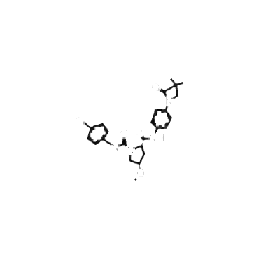 CO[C@@H]1C[C@H](C(=O)Nc2ccc(N3CC(C)(C)C3=O)cc2)N(C(=O)Nc2ccc(Cl)cc2)C1